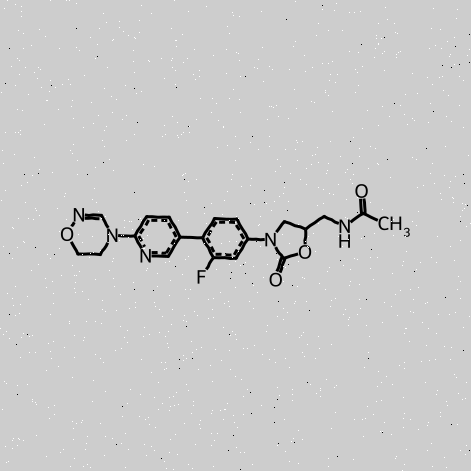 CC(=O)NCC1CN(c2ccc(-c3ccc(N4C=NOCC4)nc3)c(F)c2)C(=O)O1